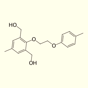 Cc1ccc(OCCOc2c(CO)cc(C)cc2CO)cc1